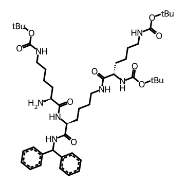 CC(C)(C)OC(=O)NCCCC[C@H](NC(=O)OC(C)(C)C)C(=O)NCCCC[C@H](NC(=O)[C@@H](N)CCCCNC(=O)OC(C)(C)C)C(=O)NC(c1ccccc1)c1ccccc1